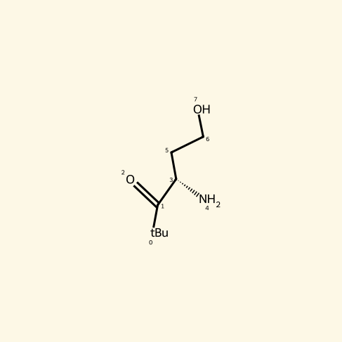 CC(C)(C)C(=O)[C@@H](N)CCO